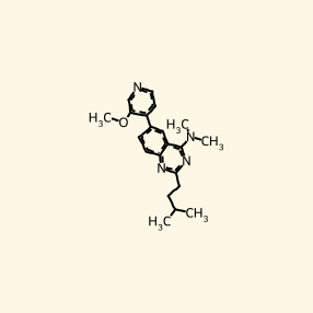 COc1cnccc1-c1ccc2nc(CCC(C)C)nc(N(C)C)c2c1